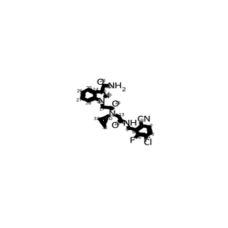 N#Cc1ccc(Cl)c(F)c1CNC(=O)CN(C(=O)Cn1nc(C(N)=O)c2ccccc21)C1CC1